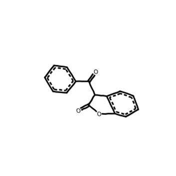 O=C1Oc2ccccc2C1C(=O)c1ccccc1